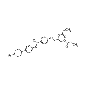 C=CC(=O)OCC(COc1ccc(C(=O)Oc2ccc(C3CCC(CCC)CC3)cc2)cc1)OC(=O)C=C